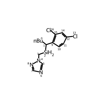 CCCCC([SiH2]Cn1cncn1)c1ccc(Cl)cc1Cl